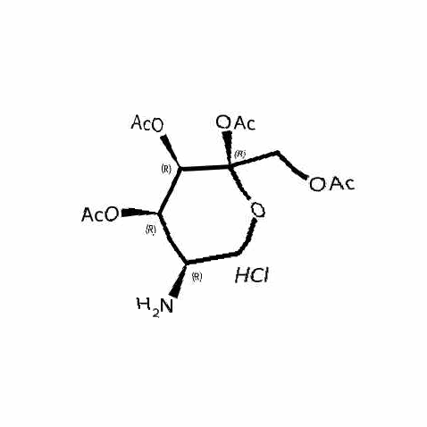 CC(=O)OC[C@]1(OC(C)=O)OC[C@@H](N)[C@@H](OC(C)=O)[C@H]1OC(C)=O.Cl